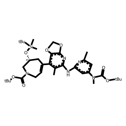 Cc1cc(N(C)C(=O)OC(C)(C)C)cc(Nc2nc3c(c(C4=CCN(C(=O)OC(C)(C)C)C[C@H](O[Si](C)(C)C(C)(C)C)C4)c2C)OCO3)n1